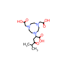 CC(C)C(=O)CC(C(=O)O)N1CCN(CC(=O)O)CCN(CC(=O)O)CC1